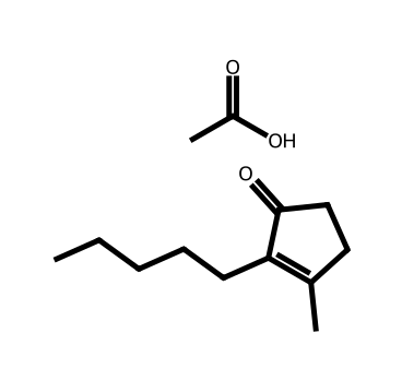 CC(=O)O.CCCCCC1=C(C)CCC1=O